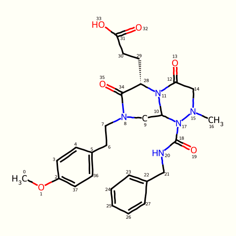 COc1ccc(CCN2CC3N(C(=O)CN(C)N3C(=O)NCc3ccccc3)[C@@H](CCC(=O)O)C2=O)cc1